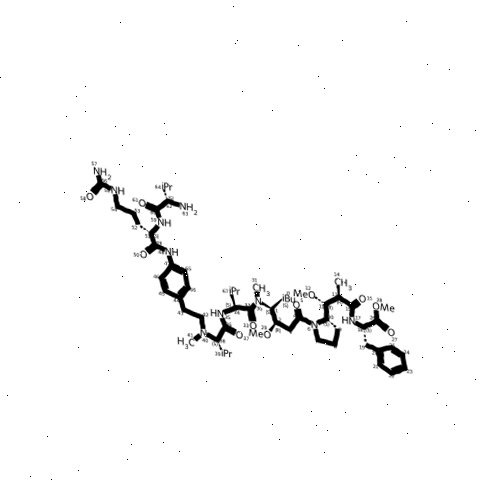 CC[C@H](C)[C@@H]([C@@H](CC(=O)N1CCC[C@H]1[C@H](OC)[C@@H](C)C(=O)N[C@@H](Cc1ccccc1)C(=O)OC)OC)N(C)C(=O)[C@@H](NC(=O)[C@H](C(C)C)N(C)CCc1ccc(NC(=O)[C@H](CCCNC(N)=O)NC(=O)[C@@H](N)C(C)C)cc1)C(C)C